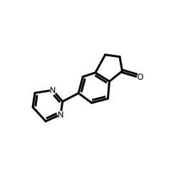 O=C1CCc2cc(-c3ncccn3)ccc21